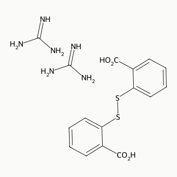 N=C(N)N.N=C(N)N.O=C(O)c1ccccc1SSc1ccccc1C(=O)O